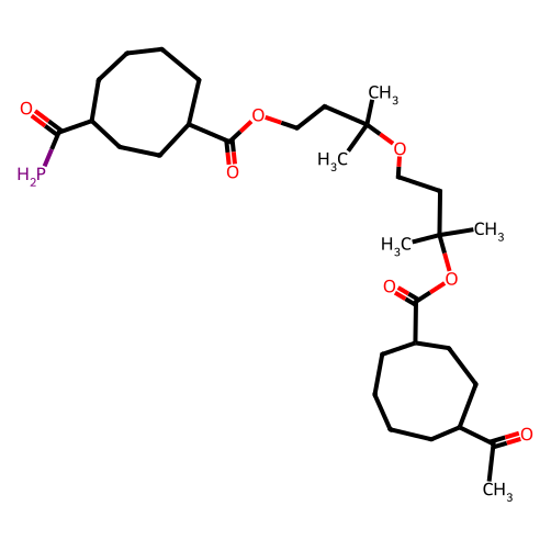 CC(=O)C1CCCCC(C(=O)OC(C)(C)CCOC(C)(C)CCOC(=O)C2CCCCC(C(=O)P)CC2)CC1